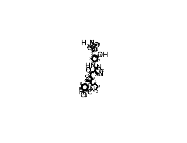 CN1CCC[C@]1(c1cccc(Cl)c1)c1csc(C(=O)c2cncnc2N[C@@H]2C[C@H](COS(N)(=O)=O)[C@@H](O)C2)c1